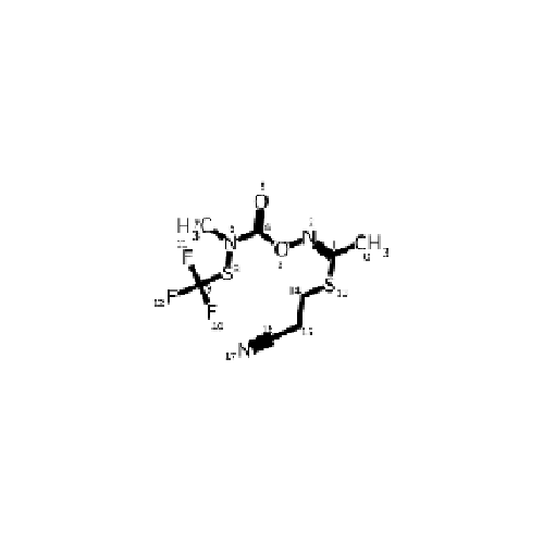 CC(=NOC(=O)N(C)SC(F)(F)F)SCCC#N